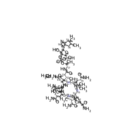 C/C1=C2/[N-][C@H]([C@H](CC(N)=O)[C@@]2(C)CCC(=O)NC[C@@H](C)OP(=O)([O-])O[C@H]2[C@@H](O)[C@@H](n3cnc4cc(C)c(C)cc43)O[C@@H]2CO)[C@]2(C)N=C(/C(C)=C3N=C(/C=C4N=C1[C@@H](CCC(N)=O)C\4(C)C)[C@@H](CCC(N)=O)[C@]\3(C)CC(N)=O)[C@@H](CCC(N)=O)[C@]2(C)CC(N)=O.[Co].[OH3+]